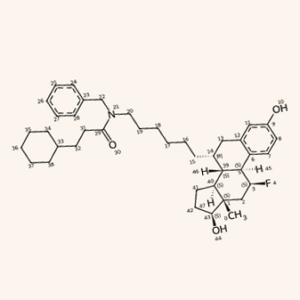 C[C@]12C[C@H](F)[C@@H]3c4ccc(O)cc4C[C@@H](CCCCCCN(Cc4ccccc4)C(=O)CCC4CCCCC4)[C@H]3[C@@H]1CC[C@@H]2O